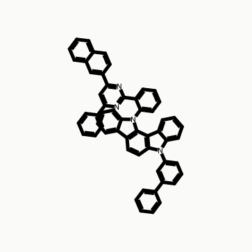 c1ccc(-c2cccc(-n3c4ccccc4c4c3ccc3c5ccccc5n(-c5ccccc5-c5nc(-c6ccccc6)cc(-c6ccc7ccccc7c6)n5)c34)c2)cc1